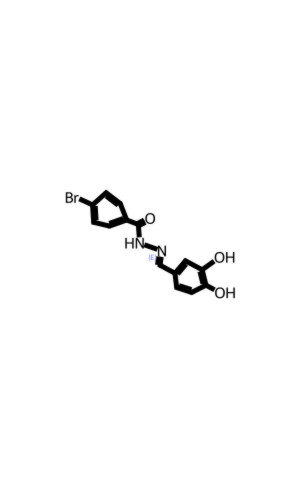 O=C(N/N=C/c1ccc(O)c(O)c1)c1ccc(Br)cc1